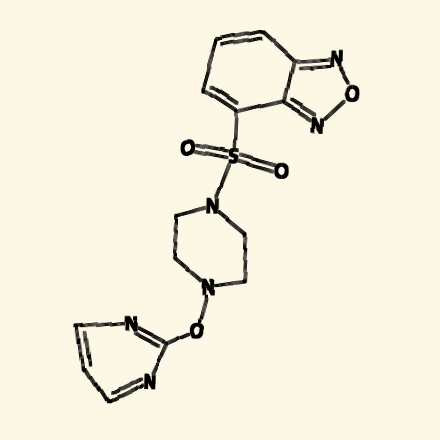 O=S(=O)(c1cccc2nonc12)N1CCN(Oc2ncccn2)CC1